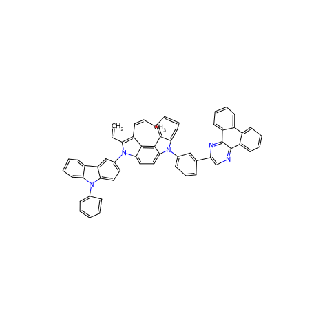 C=Cc1c(/C=C\C)c2c3c4ccccc4n(-c4cccc(-c5cnc6c7ccccc7c7ccccc7c6n5)c4)c3ccc2n1-c1ccc2c(c1)c1ccccc1n2-c1ccccc1